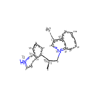 CC(C)c1cn(C[C@@H](C)c2cccc3[nH]ccc23)c2ccccc12